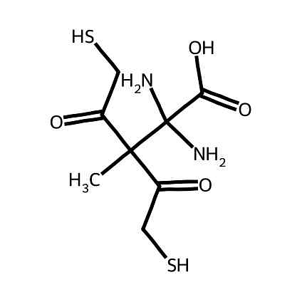 CC(C(=O)CS)(C(=O)CS)C(N)(N)C(=O)O